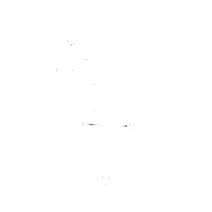 C=C[C@@H]1CC[C@@H]2C[C@H](c3cc(F)c(C#N)c(F)c3)CC[C@@H]2C1